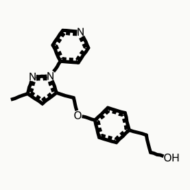 Cc1cc(COc2ccc(CCO)cc2)n(-c2ccncc2)n1